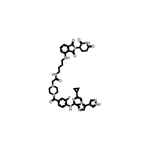 O=C(CN1CCN(C(=O)c2ccc(Nc3nc(C4CC4)cn4c(-c5cn[nH]c5)cnc34)c(F)c2)CC1)NCCCCNc1cccc2c1C(=O)N(C1CCC(=O)NC1=O)C2=O